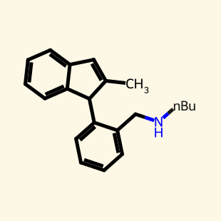 CCCCNCc1ccccc1C1C(C)=Cc2ccccc21